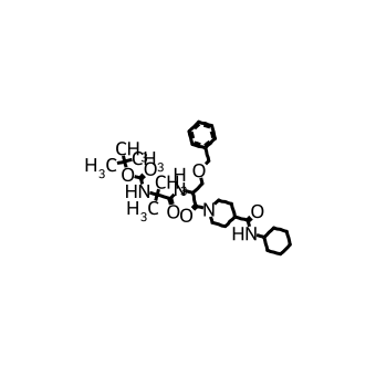 CC(C)(C)OC(=O)NC(C)(C)C(=O)NC(COCc1ccccc1)C(=O)N1CCC(C(=O)NC2CCCCC2)CC1